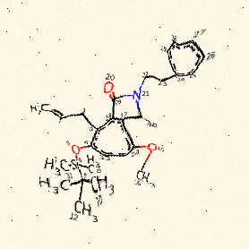 C=CCc1c(O[Si](C)(C)C(C)(C)C)cc(OC)c2c1C(=O)N(CCc1ccccc1)C2